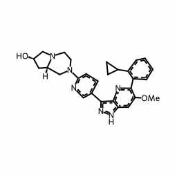 COc1cc2[nH]nc(-c3ccc(N4CCN5C[C@H](O)C[C@H]5C4)nc3)c2nc1-c1ccccc1C1CC1